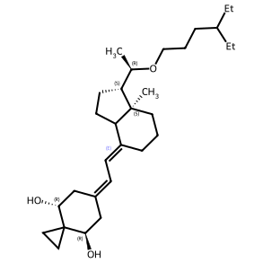 CCC(CC)CCCO[C@H](C)[C@H]1CCC2/C(=C/C=C3C[C@@H](O)C4(CC4)[C@H](O)C3)CCC[C@@]21C